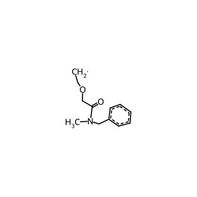 [CH2]COCC(=O)N(C)Cc1ccccc1